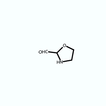 O=[C]C1NCCO1